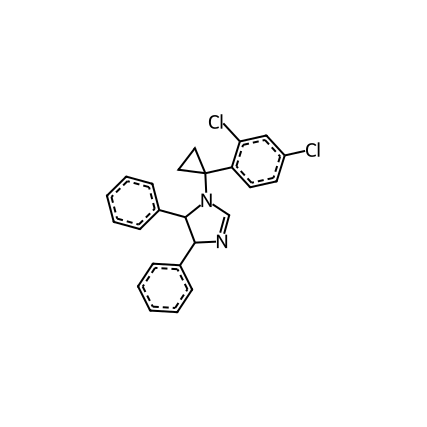 Clc1ccc(C2(N3C=NC(c4ccccc4)C3c3ccccc3)CC2)c(Cl)c1